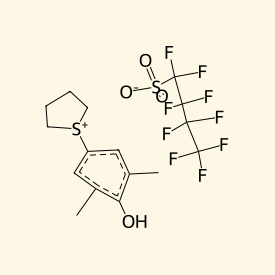 Cc1cc([S+]2CCCC2)cc(C)c1O.O=S(=O)([O-])C(F)(F)C(F)(F)C(F)(F)C(F)(F)F